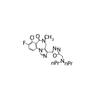 CCCN(CCC)Cc1nnc(-c2ncn3c2CN(C)C(=O)c2c-3ccc(F)c2Cl)o1